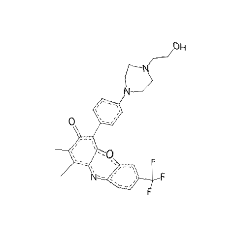 Cc1c2nc3ccc(C(F)(F)F)cc3oc-2c(-c2ccc(N3CCN(CCO)CC3)cc2)c(=O)c1C